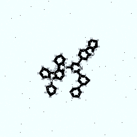 c1ccc(-c2cccc(-c3nc(-c4ccc5c(c4)oc4ccccc45)cc(-n4c5ccccc5c5c6c7ccccc7n(-c7ccccc7)c6ccc54)n3)c2)cc1